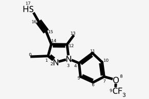 Cc1nn(-c2ccc(OC(F)(F)F)cc2)c(C)c1C#CS